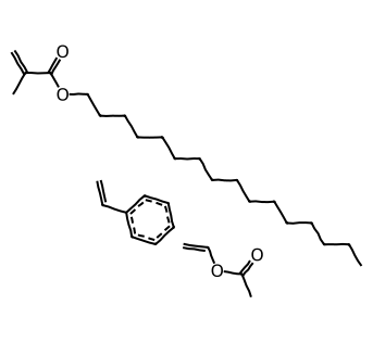 C=C(C)C(=O)OCCCCCCCCCCCCCCCC.C=COC(C)=O.C=Cc1ccccc1